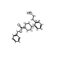 O=C(OCc1ccccc1)N1CCC(c2ccccc2CCO)CC1